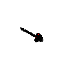 CCCCCCCCCCCCCCCCC=Cn1c(-c2ccccc2)c(OC(=O)C(C)(C)C)c(=O)c2ccccc21